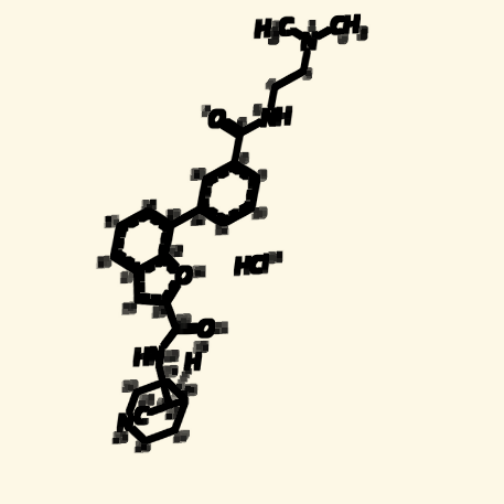 CN(C)CCNC(=O)c1cccc(-c2cccc3cc(C(=O)N[C@@H]4CN5CCC4CC5)oc23)c1.Cl